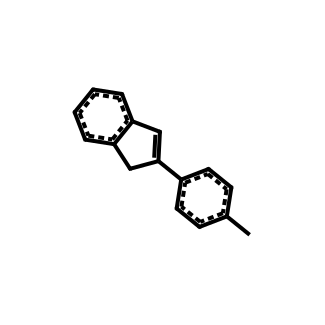 Cc1ccc(C2=Cc3ccccc3C2)cc1